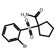 NC(=O)C1(S(=O)(=O)c2ccccc2Br)CCCC1